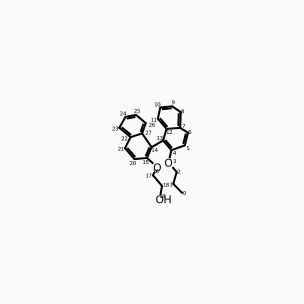 CCCOc1ccc2ccccc2c1-c1c(OCCO)ccc2ccccc12